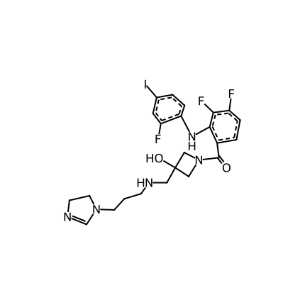 O=C(c1ccc(F)c(F)c1Nc1ccc(I)cc1F)N1CC(O)(CNCCCN2C=NCC2)C1